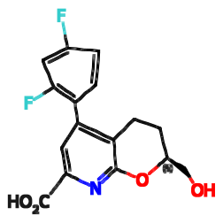 O=C(O)c1cc(-c2ccc(F)cc2F)c2c(n1)O[C@H](CO)CC2